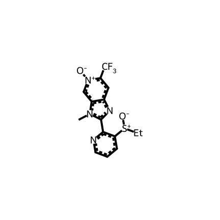 CC[S+]([O-])c1cccnc1-c1nc2cc(C(F)(F)F)[n+]([O-])cc2n1C